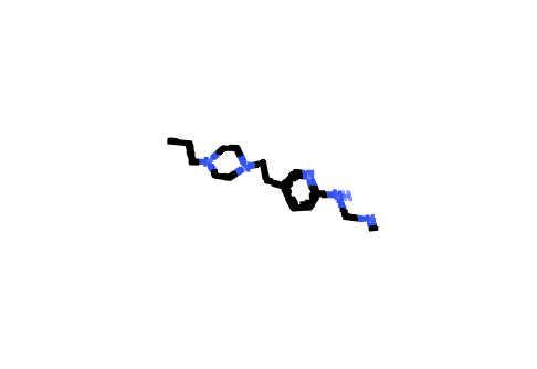 C=NCNc1ccc(CCN2CCN(CCC)CC2)cn1